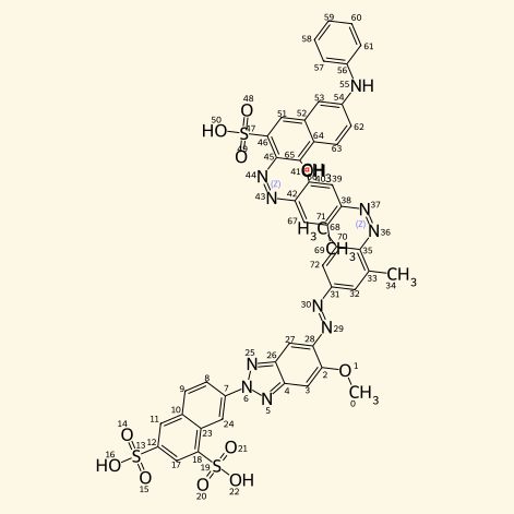 COc1cc2nn(-c3ccc4cc(S(=O)(=O)O)cc(S(=O)(=O)O)c4c3)nc2cc1N=Nc1cc(C)c(/N=N\c2cc(C)c(/N=N\c3c(S(=O)(=O)O)cc4cc(Nc5ccccc5)ccc4c3O)cc2C)c(C)c1